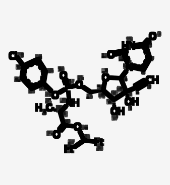 C#C[C@]1(O)C(n2ccc(=O)[nH]c2=O)O[C@H](COP(=O)(N[C@@H](C)C(=O)OC(CC)CC)Oc2ccc(Cl)cc2)[C@H]1O